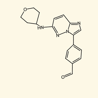 O=Cc1ccc(-c2cnc3ccc(NC4CCOCC4)nn23)cc1